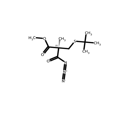 COC(=O)[C@@](C)(CSC(C)(C)C)C(=O)N=[N+]=[N-]